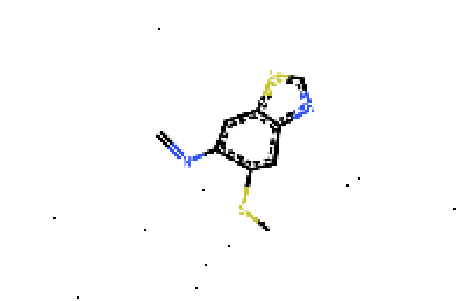 C=Nc1cc2scnc2cc1SC